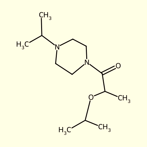 CC(C)OC(C)C(=O)N1CCN(C(C)C)CC1